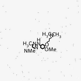 CNc1cc(C)nc(Nc2ccc(OC)c(OCCCCN(C)C)c2)n1